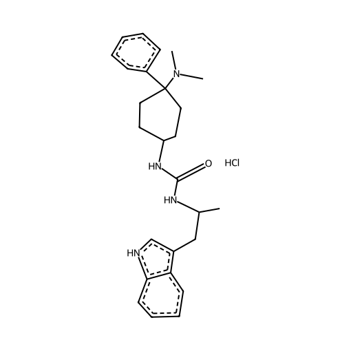 CC(Cc1c[nH]c2ccccc12)NC(=O)NC1CCC(c2ccccc2)(N(C)C)CC1.Cl